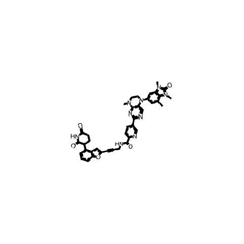 Cc1cc(N2CCN(C)c3nc(-c4ccc(C(=O)NCC#Cc5cc6c(C7CCC(=O)NC7=O)cccc6o5)nc4)ncc32)cc2c1n(C)c(=O)n2C